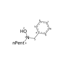 CCCCCN(O)Cc1ccccc1